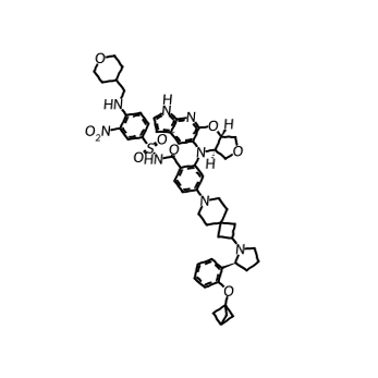 O=C(NS(=O)(=O)c1ccc(NCC2CCOCC2)c([N+](=O)[O-])c1)c1ccc(N2CCC3(CC2)CC(N2CCC[C@H]2c2ccccc2OC24CC(C2)C4)C3)cc1N1c2cc3cc[nH]c3nc2O[C@@H]2COC[C@H]21